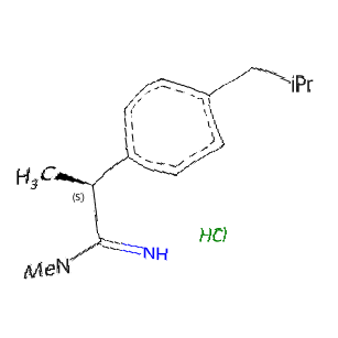 CNC(=N)[C@@H](C)c1ccc(CC(C)C)cc1.Cl